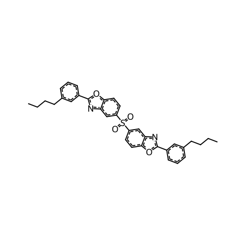 CCCCc1cccc(-c2nc3cc(S(=O)(=O)c4ccc5oc(-c6cccc(CCCC)c6)nc5c4)ccc3o2)c1